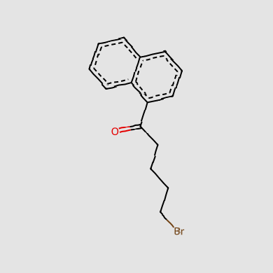 O=C(CCCCBr)c1cccc2ccccc12